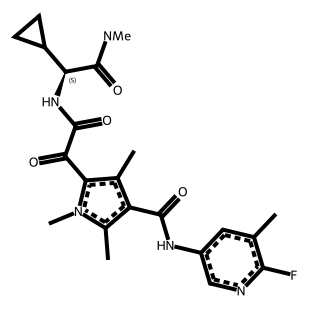 CNC(=O)[C@@H](NC(=O)C(=O)c1c(C)c(C(=O)Nc2cnc(F)c(C)c2)c(C)n1C)C1CC1